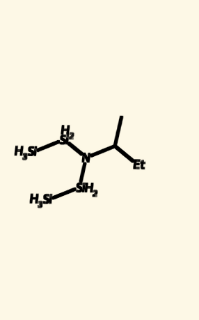 CCC(C)N([SiH2][SiH3])[SiH2][SiH3]